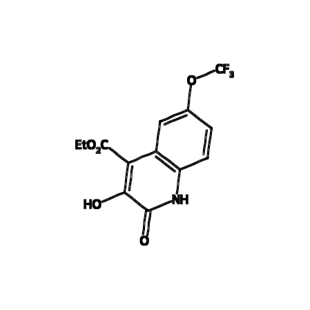 CCOC(=O)c1c(O)c(=O)[nH]c2ccc(OC(F)(F)F)cc12